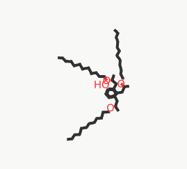 CCCCCCCCCCCCOC(C)Cc1ccc(O)c(CC(C)OCCCCCCCCCCCC)c1CC(C)OCCCCCCCCCCCC